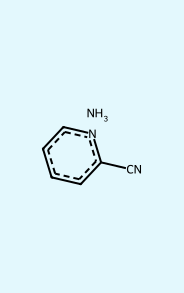 N.N#Cc1ccccn1